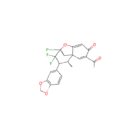 CC(=O)C1=CC23CC(F)(OC2=CC1=O)C(F)(F)C(c1ccc2c(c1)OCO2)C3C